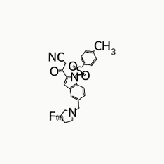 Cc1ccc(S(=O)(=O)n2c(C(=O)CC#N)cc3cc(CN4CC[C@@H](F)C4)ccc32)cc1